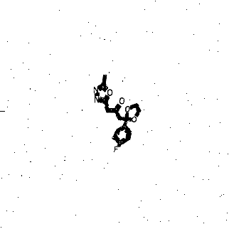 Cc1nnc(CC(=O)CC2(c3ccc(F)cc3)OCCO2)o1